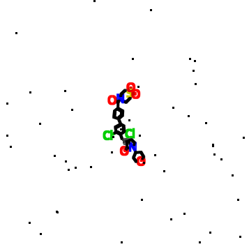 O=C(c1ccc(-c2cc(Cl)c(C[C@@H]3CCN(C4CCOCC4)C3=O)c(Cl)c2)cc1)N1CCS(=O)(=O)CC1